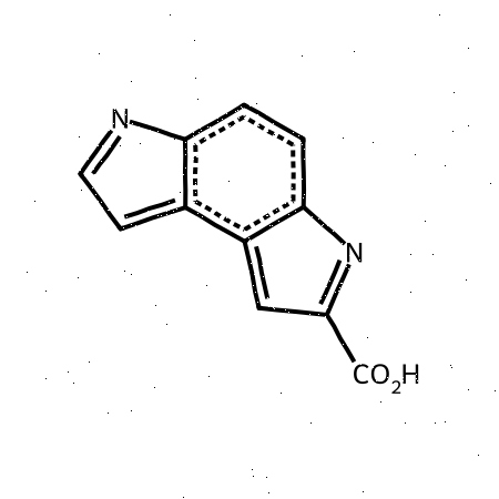 O=C(O)C1=Nc2ccc3c(c2=C1)=CC=N3